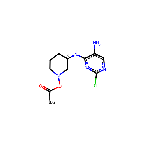 CC(C)(C)C(=O)ON1CCC[C@@H](Nc2nc(Cl)ncc2N)C1